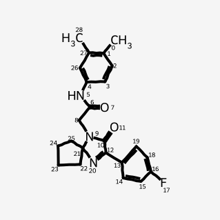 Cc1ccc(NC(=O)CN2C(=O)C(c3ccc(F)cc3)=NC23CCCC3)cc1C